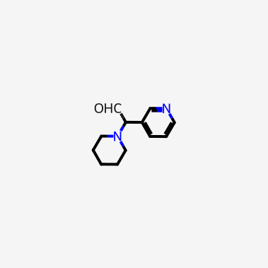 O=CC(c1cccnc1)N1CCCCC1